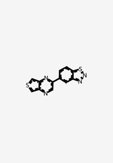 [c]1c(-c2cnc3cscc3n2)ccc2snnc12